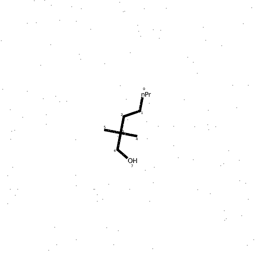 CCCCCC(C)(C)CO